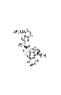 COc1cccc2cc(C(=O)N3CCC4(CC3)Oc3ccccc3-c3c4cnn3C)oc12